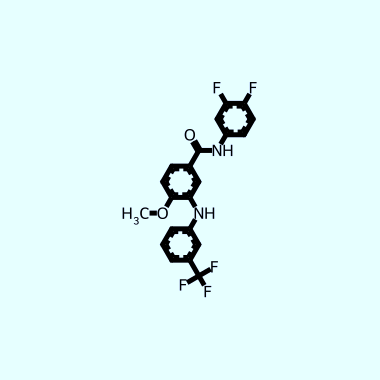 COc1ccc(C(=O)Nc2ccc(F)c(F)c2)cc1Nc1cccc(C(F)(F)F)c1